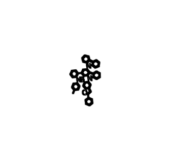 Cc1ccc(N2B3c4cc5oc(-c6ccccc6)cc5cc4-n4c5ccccc5c5c(-n6c7ccccc7c7ccccc76)cc(c3c54)-c3ccccc32)cc1